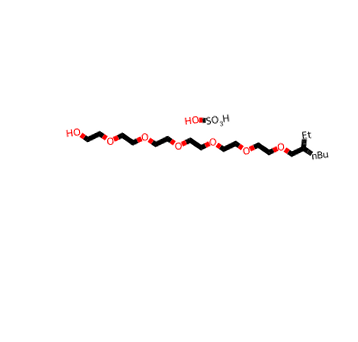 CCCCC(CC)COCCOCCOCCOCCOCCOCCO.O=S(=O)(O)O